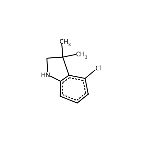 CC1(C)CNc2cccc(Cl)c21